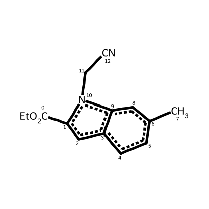 CCOC(=O)c1cc2ccc(C)cc2n1CC#N